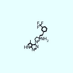 Cc1c[nH]c2ncnc(N3CCC(N)(C=Cc4cccc(C(F)(F)F)c4)C3)c12